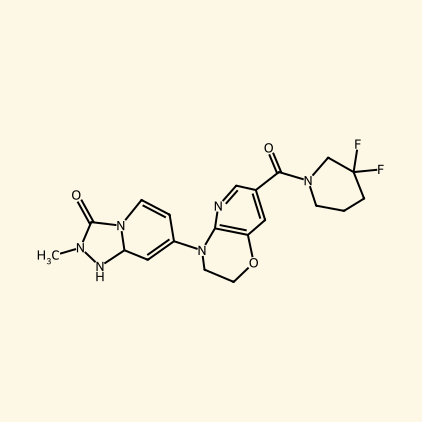 CN1NC2C=C(N3CCOc4cc(C(=O)N5CCCC(F)(F)C5)cnc43)C=CN2C1=O